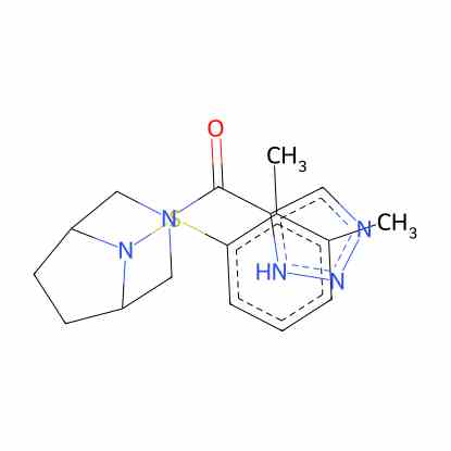 Cc1cccc(SN2C3CCC2CN(C(=O)c2cnn[nH]2)C3)c1C